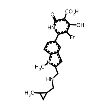 CCc1c(-c2ccc3c(c2)cc(CNCC2CC2C)n3C)[nH]c(=O)c(C(=O)O)c1O